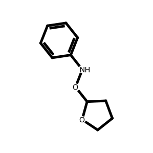 c1ccc(NOC2CCCO2)cc1